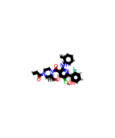 C=CC(=O)N1CCN2C(=O)c3c(NC4CCCCC4C)nc(-c4c(O)cccc4F)c(Cl)c3OC[C@H]2C1